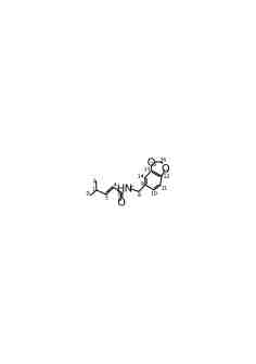 CC(C)/C=C/C(=O)NCc1ccc2c(c1)OCO2